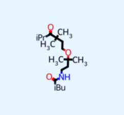 CCC(C)C(=O)NCCC(C)(C)OCCC(C)(C)C(=O)C(C)C